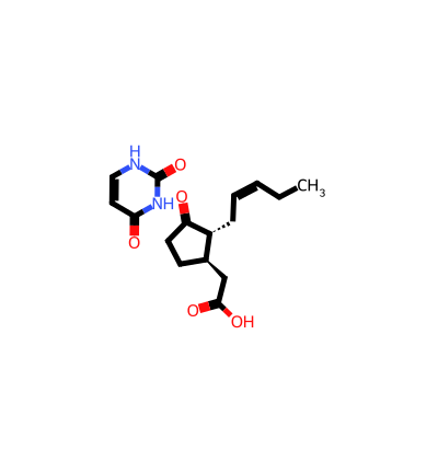 CC/C=C\C[C@H]1C(=O)CC[C@@H]1CC(=O)O.O=c1cc[nH]c(=O)[nH]1